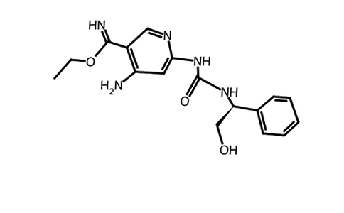 CCOC(=N)c1cnc(NC(=O)N[C@H](CO)c2ccccc2)cc1N